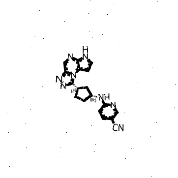 N#Cc1ccc(N[C@@H]2CC[C@H](c3nnc4cnc5[nH]ccc5n34)C2)nc1